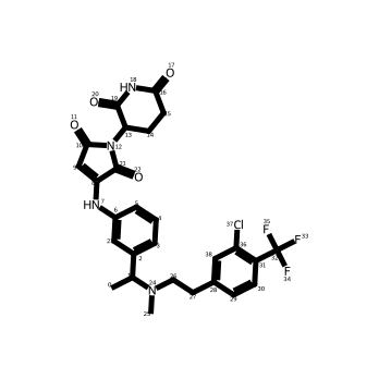 CC(c1cccc(NC2=CC(=O)N(C3CCC(=O)NC3=O)C2=O)c1)N(C)CCc1ccc(C(F)(F)F)c(Cl)c1